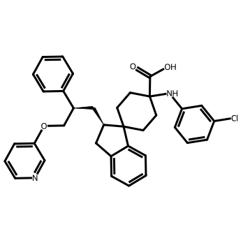 O=C(O)C1(Nc2cccc(Cl)c2)CCC2(CC1)c1ccccc1C[C@H]2C[C@@H](COc1cccnc1)c1ccccc1